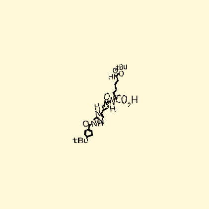 CC(C)(C)OC(=O)NCCCC[C@H](NC(=O)N1CC(c2cnc(CNC(=O)c3ccc(C(C)(C)C)cc3)[nH]2)C1)C(=O)O